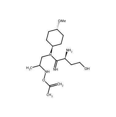 C=C(C)ONC(C)CN(C(=N)[C@@H](N)CCO)[C@H]1CC[C@H](OC)CC1